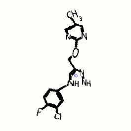 Cc1cnc(OC/C(=C/Nc2ccc(F)c(Cl)c2)N=N)nc1